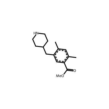 COC(=O)c1cc(CC2CCNCC2)c(C)cc1C